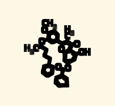 COc1ccc(-c2oc3cc(OC(=O)c4ccccc4)cc(O)c3c(=O)c2C)cc1OC(C)CCCc1ccccc1